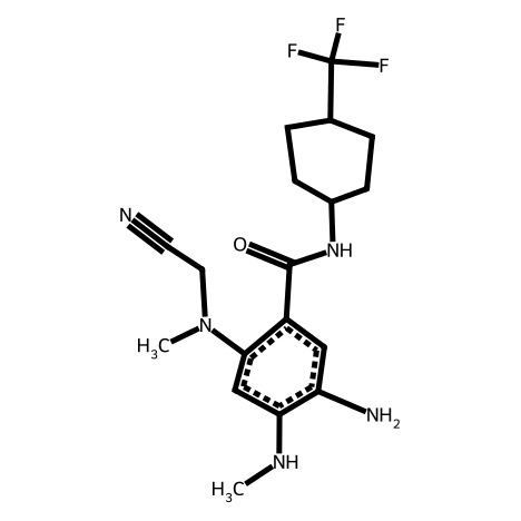 CNc1cc(N(C)CC#N)c(C(=O)NC2CCC(C(F)(F)F)CC2)cc1N